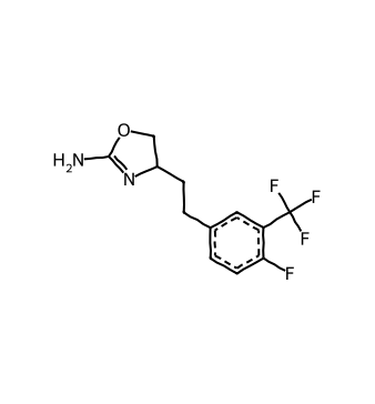 NC1=NC(CCc2ccc(F)c(C(F)(F)F)c2)CO1